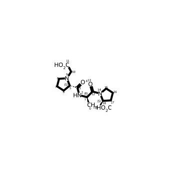 C[C@@H](NC(=O)[C@@H]1CCCN1CC(=O)O)C(=O)N1CCC[C@H]1C(=O)O